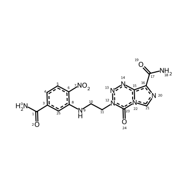 NC(=O)c1ccc([N+](=O)[O-])c(NCCn2nnc3c(C(N)=O)ncn3c2=O)c1